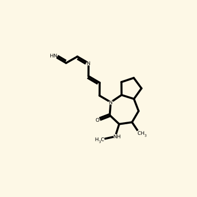 CNC1C(=O)N(C/C=C/N=C\C=N)C2CCCC2CC1C